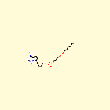 CCCCCCCCCCCCCCCCOCCCCOP(=O)(O)OC[C@@H]1CC[C@](C#N)(c2ccc3c(N)ncnn23)O1